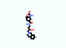 CC12CCC(C(=O)NCCC(O)CN3CCc4ccccc4C3)CC1NC(=O)O2